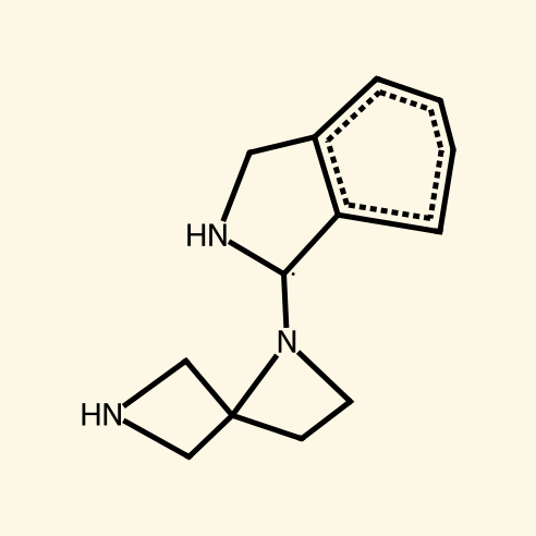 c1ccc2c(c1)CN[C]2N1CCC12CNC2